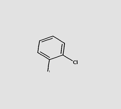 [CH]c1ccccc1Cl